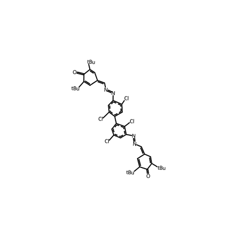 CC(C)(C)C1=CC(=C/N=N/c2cc(Cl)c(-c3cc(Cl)cc(/N=N/C=C4C=C(C(C)(C)C)C(=O)C(C(C)(C)C)=C4)c3Cl)cc2Cl)C=C(C(C)(C)C)C1=O